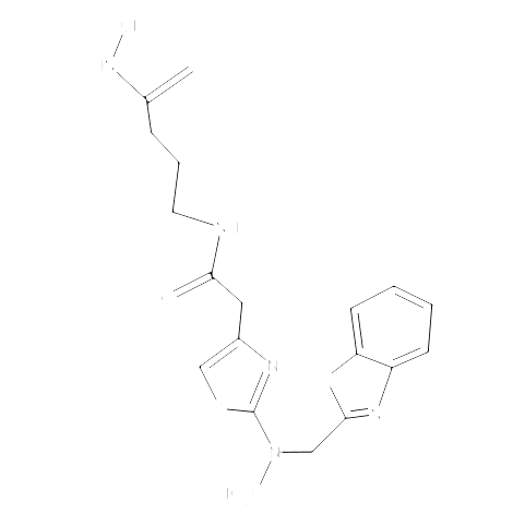 O=C(CCCNC(=O)Cc1csc(N(Cc2nc3ccccc3s2)C(=O)O)n1)NO